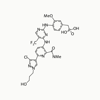 CNC(=O)c1nc(-c2cn(CCCO)nc2Cl)ccc1Nc1nc(Nc2ccc(CP(=O)(O)O)cc2OC)ncc1C(F)(F)F